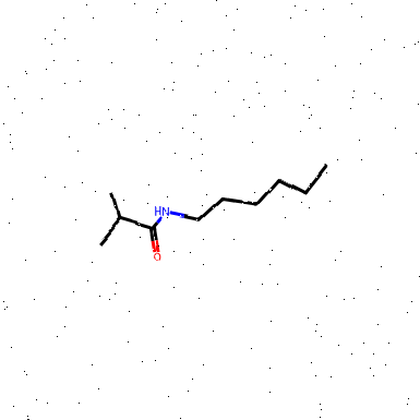 CCCCCCNC(=O)C(C)C